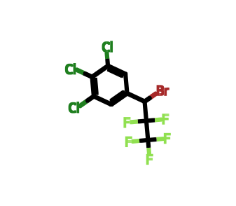 FC(F)(F)C(F)(F)C(Br)c1cc(Cl)c(Cl)c(Cl)c1